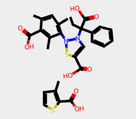 CCC(C(=O)O)(c1ccccc1)N1C=C(C(=O)O)SN1c1c(C)cc(C)c(C(=O)O)c1C.Cc1ccsc1C(=O)O